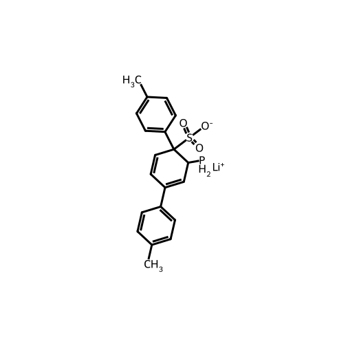 Cc1ccc(C2=CC(P)C(c3ccc(C)cc3)(S(=O)(=O)[O-])C=C2)cc1.[Li+]